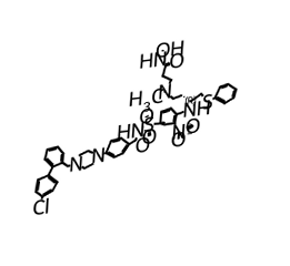 CN(CCC(=O)NO)CC[C@H](CSc1ccccc1)Nc1ccc(S(=O)(=O)NC(=O)c2ccc(N3CCN(Cc4ccccc4-c4ccc(Cl)cc4)CC3)cc2)cc1[N+](=O)[O-]